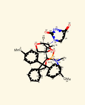 COc1ccc(C(c2ccccc2)(c2ccc(OC)cc2)C(C=O)[C@]23CO[C@@H]([C@H](n4ccc(=O)[nH]c4=O)O2)[C@@H]3OP(OCCC#N)N(C(C)C)C(C)C)cc1